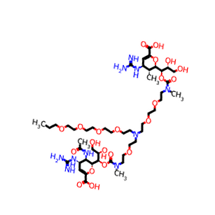 CCCOCCOCCOCCOCCN(CCOCCOCCN(C)C(=O)O[C@@H]([C@@H]1OC(C(=O)O)=C[C@H](NC(=N)N)[C@H]1C)[C@H](O)CO)CCOCCN(C)C(=O)O[C@@H]([C@@H]1OC(C(=O)O)=C[C@H](NC(=N)N)[C@H]1NC(C)=O)[C@H](O)CO